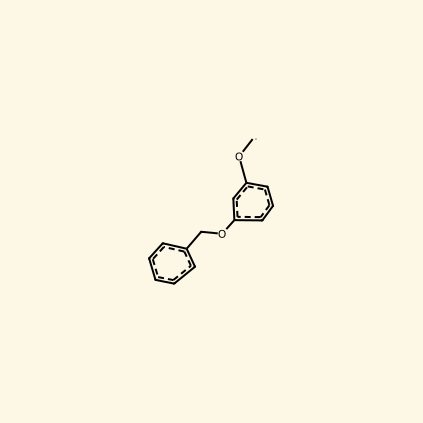 [CH2]Oc1cccc(OCc2ccccc2)c1